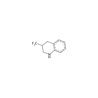 FC(F)(F)C1CNc2ccccc2C1